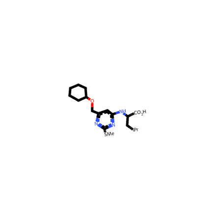 CSc1nc(COC2CCCCC2)cc(NC(CC(C)C)C(=O)O)n1